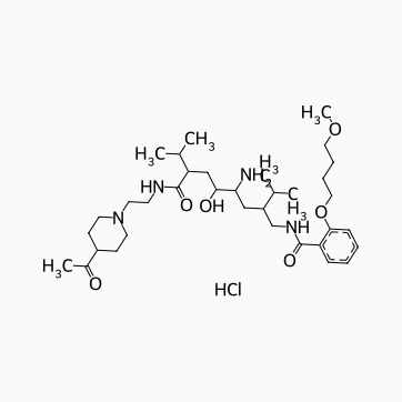 COCCCCOc1ccccc1C(=O)NCC(CC(N)C(O)CC(C(=O)NCCN1CCC(C(C)=O)CC1)C(C)C)C(C)C.Cl